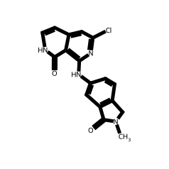 CN1Cc2ccc(Nc3nc(Cl)cc4cc[nH]c(=O)c34)cc2C1=O